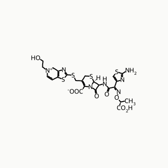 C[C@H](O/N=C(\C(=O)NC1C(=O)N2C(C(=O)[O-])=C(CSc3nc4c[n+](CCO)ccc4s3)CS[C@@H]12)c1csc(N)n1)C(=O)O